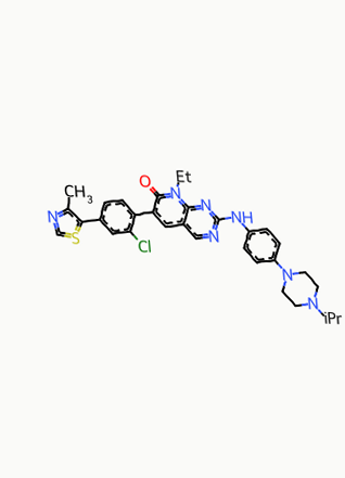 CCn1c(=O)c(-c2ccc(-c3scnc3C)cc2Cl)cc2cnc(Nc3ccc(N4CCN(C(C)C)CC4)cc3)nc21